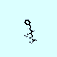 COC(CNC(N)=O)C(=O)NCc1ccccc1